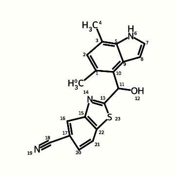 Cc1cc(C)c2[nH]ccc2c1C(O)c1nc2cc(C#N)ccc2s1